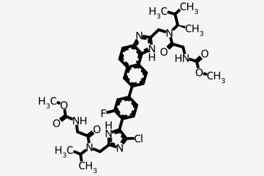 COC(=O)NCC(=O)N(Cc1nc(Cl)c(-c2ccc(-c3ccc4c(ccc5nc(CN(C(=O)CNC(=O)OC)[C@H](C)C(C)C)[nH]c54)c3)cc2F)[nH]1)C(C)C